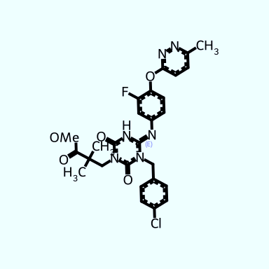 COC(=O)C(C)(C)Cn1c(=O)[nH]/c(=N\c2ccc(Oc3ccc(C)nn3)c(F)c2)n(Cc2ccc(Cl)cc2)c1=O